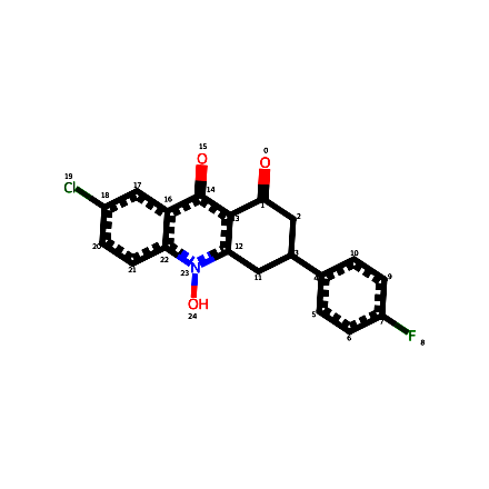 O=C1CC(c2ccc(F)cc2)Cc2c1c(=O)c1cc(Cl)ccc1n2O